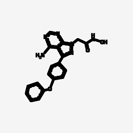 Nc1ncnc2c1c(-c1ccc(Oc3ccccc3)cc1)nn2CC(=O)NO